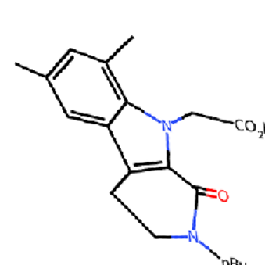 CCCCN1CCc2c(n(CC(=O)O)c3c(C)cc(C)cc23)C1=O